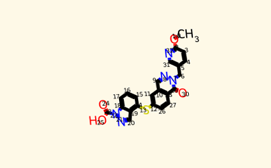 COc1ccc(Cn2ncc3cc(Sc4cccc5c4cnn5C(=O)O)ccc3c2=O)cn1